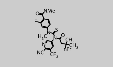 CCCC(C)(C)CC(=O)N(C(=S)N(C)c1ccc(C(=O)NC)c(F)c1)c1cnc(C#N)c(C(F)(F)F)c1